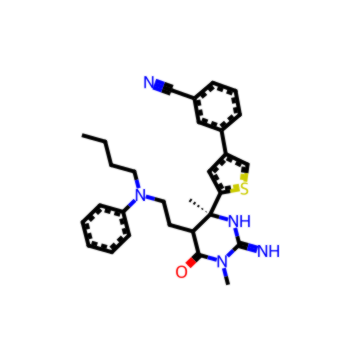 CCCCN(CCC1C(=O)N(C)C(=N)N[C@]1(C)c1cc(-c2cccc(C#N)c2)cs1)c1ccccc1